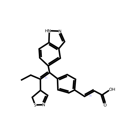 CC/C(=C(/c1ccc(/C=C/C(=O)O)cc1)c1ccc2[nH]ncc2c1)C1C=NSC1